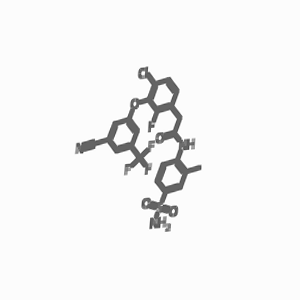 Cc1cc(S(N)(=O)=O)ccc1NC(=O)Cc1ccc(Cl)c(Oc2cc(C#N)cc(C(F)(F)F)c2)c1F